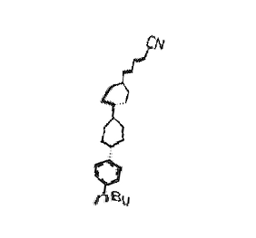 CCCCc1ccc([C@H]2CC[C@H]([C@H]3CC[C@H](C=CC=CC#N)CC3)CC2)cc1